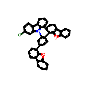 Clc1ccc2c3ccccc3n(-c3cc(-c4cccc5c4oc4ccccc45)ccc3-c3cccc4c3oc3ccccc34)c2c1